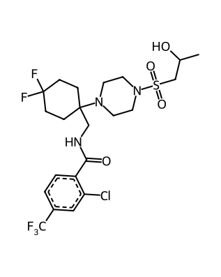 CC(O)CS(=O)(=O)N1CCN(C2(CNC(=O)c3ccc(C(F)(F)F)cc3Cl)CCC(F)(F)CC2)CC1